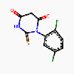 O=C1CC(=O)N(c2cc(F)ccc2F)C(=S)N1